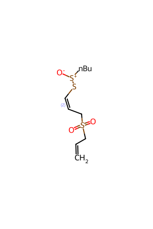 C=CCS(=O)(=O)C/C=C\S[S+]([O-])CCCC